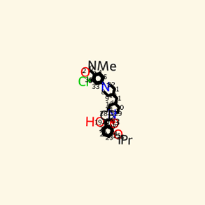 CNC(=O)c1ccc(N2CCC(CC3CCN(C(=O)[C@](O)(c4cccc(OC(C)C)c4)C(F)(F)F)CC3)CC2)cc1Cl